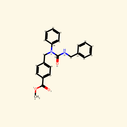 COC(=O)c1ccc(CN(C(=O)NCc2ccccc2)c2ccccc2)cc1